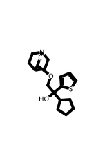 OC(COC1CN2CCC1CC2)(c1cccs1)C1CCCC1